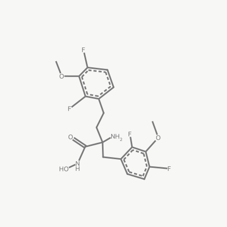 COc1c(F)ccc(CCC(N)(Cc2ccc(F)c(OC)c2F)C(=O)NO)c1F